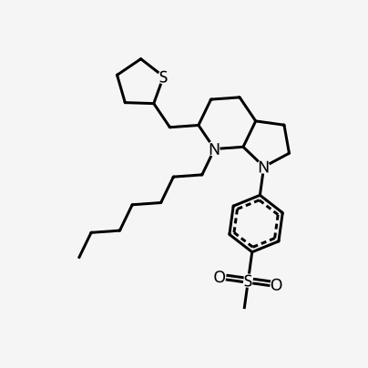 CCCCCCCN1C(CC2CCCS2)CCC2CCN(c3ccc(S(C)(=O)=O)cc3)C21